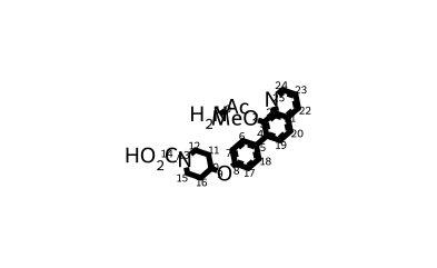 CC(N)=O.COc1c(-c2ccc(OC3CCN(C(=O)O)CC3)cc2)ccc2cccnc12